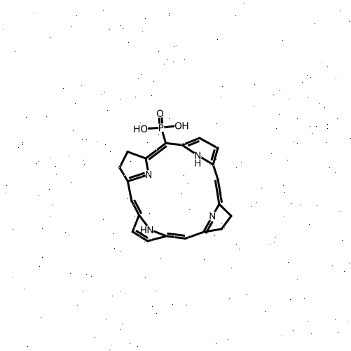 O=P(O)(O)c1c2nc(cc3ccc(cc4nc(cc5ccc1[nH]5)CC4)[nH]3)CC2